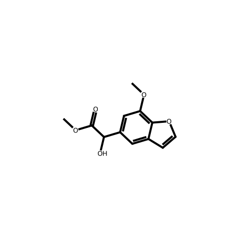 COC(=O)C(O)c1cc(OC)c2occc2c1